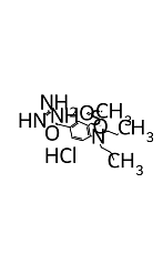 CCCN(CCC)c1ccc(C(=O)NC(=N)N)cc1S(C)(=O)=O.Cl